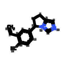 C=Cc1cc(C2CCc3cncn32)ccc1C#N